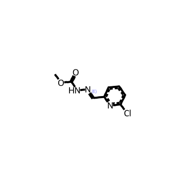 COC(=O)N/N=C/c1cccc(Cl)n1